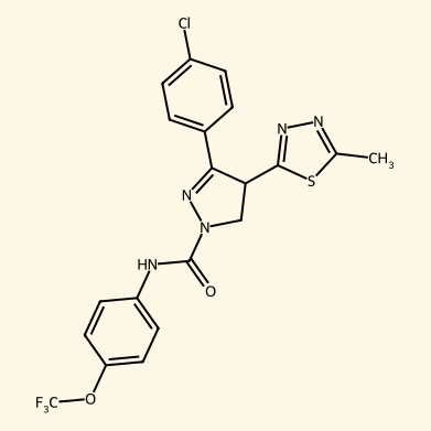 Cc1nnc(C2CN(C(=O)Nc3ccc(OC(F)(F)F)cc3)N=C2c2ccc(Cl)cc2)s1